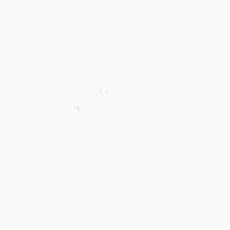 C1=NCC(c2ccccc2)(c2ccccc2)N1